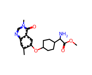 COC(=O)C(N)C1CCC(Oc2cc3c(=O)n(C)cnc3cc2C)CC1